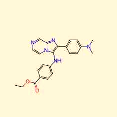 CCOC(=O)c1ccc(Nc2c(-c3ccc(N(C)C)cc3)nc3cnccn23)cc1